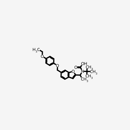 CCOc1ccc(OCc2ccc3cc(C(C)N(C(=O)O)C(C)(C)C)oc3c2)cc1